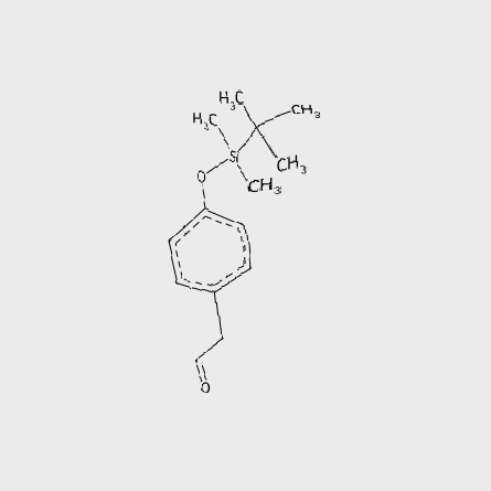 CC(C)(C)[Si](C)(C)Oc1ccc(CC=O)cc1